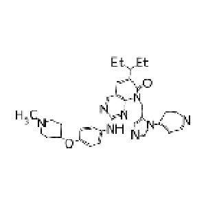 CCC(CC)c1cc2cnc(Nc3ccc(OC4CCN(C)CC4)cc3)nc2n(Cc2cncn2-c2ccncc2)c1=O